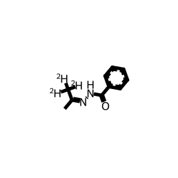 [2H]C([2H])([2H])C(C)=NNC(=O)c1ccccc1